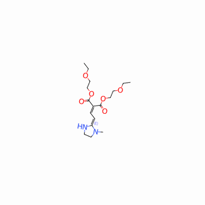 CCOCCOC(=O)C(=C/C=C1\NCCN1C)C(=O)OCCOCC